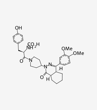 COc1ccc(C2=NN(C3CCN(C(=O)[C@@H](Cc4ccc(O)cc4)NC(=O)O)CC3)C(=O)[C@@H]3CCCC[C@H]23)cc1OC